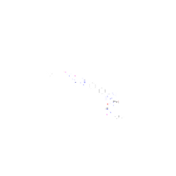 COC(=O)NC(C)C(=O)N1CCC[C@H]1c1ncc(-c2ccc(-c3ccc(-c4cnc([C@@H]5[C@@H](O)CCN5C(=O)[C@H](C)NC(=O)OC)[nH]4)cc3)cc2)[nH]1